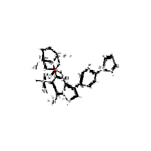 CS(=O)(=O)c1c(C2C[C@H]3CC[C@@H](C2)N3C(=O)CO)nc2c(-c3ccc(-n4cccn4)nc3)cnn2c1N